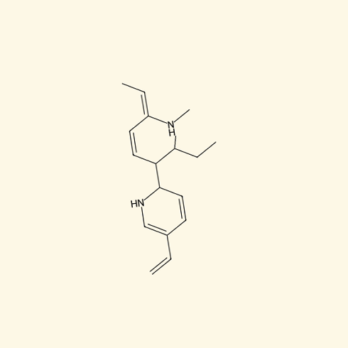 C=CC1=CNC(C(/C=C\C(=C/C)NC)C(C)CC)C=C1